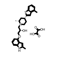 Cc1cc2c(OC[C@@H](O)CN3CC[C@@H](c4cc5c(C)cccc5s4)C[C@H]3C)cccc2[nH]1.O=C(O)C(=O)O